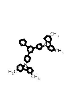 CC1=CC2c3cc(C)ccc3N(c3ccc(-c4cc(-c5ccccc5)cc(-c5ccc(-n6c7ccc(C)cc7c7cc(C)ccc76)cc5)c4)cc3)C2C=C1